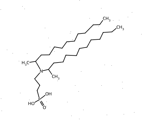 CCCCCCCCCCCC(C)N(CCCP(=O)(O)O)C(C)CCCCCCCCCCC